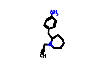 C#CCN1CCCCCC1Cc1ccc(N)cc1